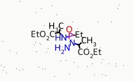 CCOC(=O)C(C)NP(=O)(CC)N(N)C(C)C(=O)OCC